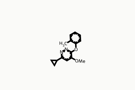 COc1cc(C2CC2)nnc1Oc1ccccc1C